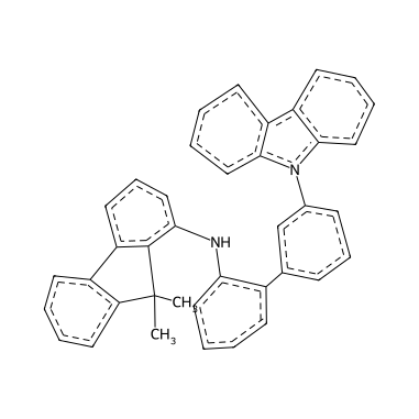 CC1(C)c2ccccc2-c2cccc(Nc3ccccc3-c3cccc(-n4c5ccccc5c5ccccc54)c3)c21